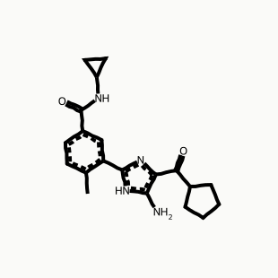 Cc1ccc(C(=O)NC2CC2)cc1-c1nc(C(=O)C2CCCC2)c(N)[nH]1